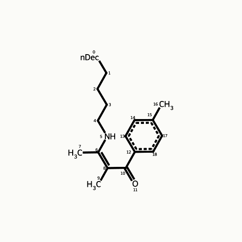 CCCCCCCCCCCCCCNC(C)=C(C)C(=O)c1ccc(C)cc1